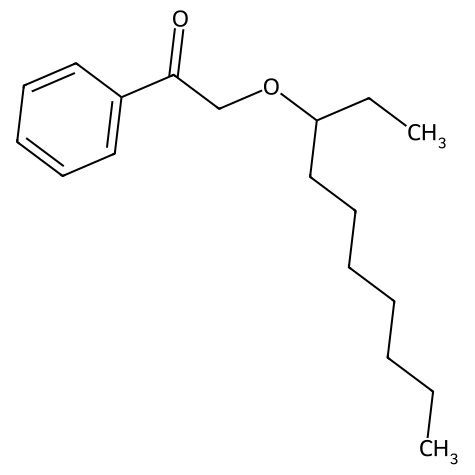 CCCCCCCC(CC)OCC(=O)c1ccccc1